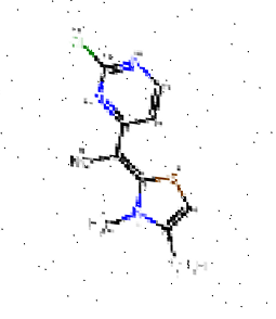 CN1C(C(=O)O)=CSC1=C(C#N)c1ccnc(Cl)n1